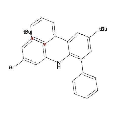 CC(C)(C)c1cc(Br)cc(Nc2c(-c3ccccc3)cc(C(C)(C)C)cc2-c2ccccc2)c1